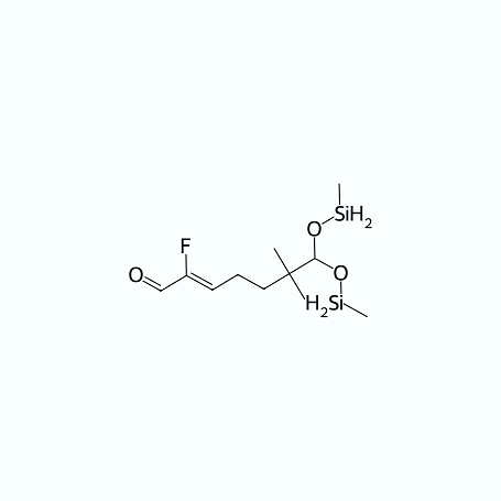 C[SiH2]OC(O[SiH2]C)C(C)(C)CCC=C(F)C=O